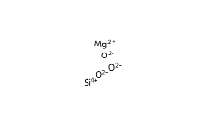 [Mg+2].[O-2].[O-2].[O-2].[Si+4]